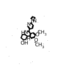 CCOc1cc2c(cc1OC)C(c1ccc(-n3cccn3)nc1)=N[C@@H]1CC[C@@H](O)C[C@H]21